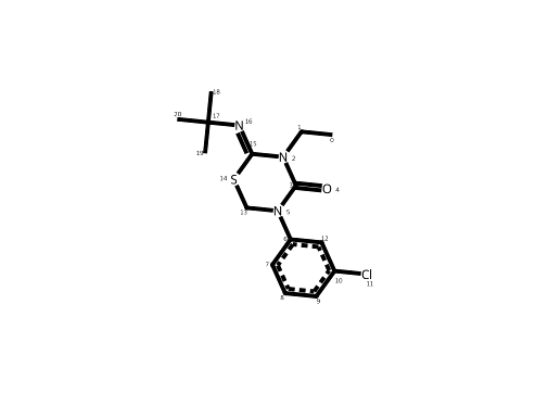 CCN1C(=O)N(c2cccc(Cl)c2)CS/C1=N\C(C)(C)C